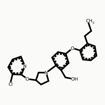 CCCc1ccccc1Oc1ccc(N2CCC(Oc3ncccc3Cl)C2)c(CO)c1